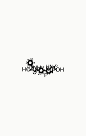 C[C@@H](CO)Nc1ncc(F)c(-c2ccc(C(=O)N[C@H](CO)c3ccccc3)cc2)n1